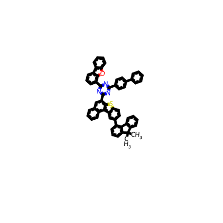 CC1(C)c2ccccc2-c2c(-c3ccc4sc5c(-c6nc(-c7ccc(-c8ccccc8)cc7)nc(-c7cccc8c7oc7ccccc78)n6)cc6ccccc6c5c4c3)cccc21